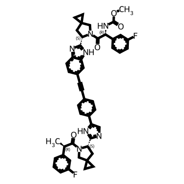 COC(=O)N[C@@H](C(=O)N1CC2(CC2)C[C@H]1c1nc2ccc(C#Cc3ccc(-c4cnc([C@@H]5CC6(CC6)CN5C(=O)[C@H](C)c5cccc(F)c5)[nH]4)cc3)cc2[nH]1)c1cccc(F)c1